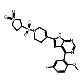 COc1ccc(F)cc1-c1ncnc2[nH]c(C3=CCN(S(=O)(=O)C4CCS(=O)(=O)C4)CC3)cc12